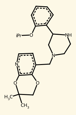 CC(C)Oc1ccccc1C1CN(Cc2ccnc3c2OCC(C)(C)O3)CCN1